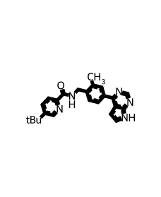 Cc1cc(-c2ncnc3[nH]ccc23)ccc1CNC(=O)c1ccc(C(C)(C)C)cn1